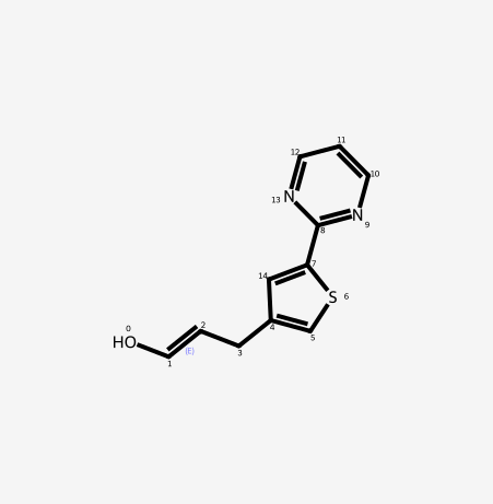 O/C=C/Cc1csc(-c2ncccn2)c1